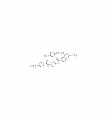 O=C(O)c1ccc(C(=O)Oc2ccc(OC(=O)c3ccc4cc(C(=O)O)ccc4c3)cc2)cc1.O=C(O)c1ccc(O)cc1